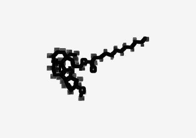 CCCCCCCCCCCC(=O)OCC1=C[C@]2(CC)CCCN3CCc4c(n1c1cc(OC)ccc41)[C@@H]32